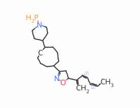 C=C(/C=C\C=C/C)C1CC(C2CCCCC(C3CCN(P)CC3)CCC2)=NO1